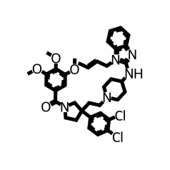 CC=CCn1c(NC2CCN(CCC3(c4ccc(Cl)c(Cl)c4)CCN(C(=O)c4cc(OC)c(OC)c(OC)c4)C3)CC2)nc2ccccc21